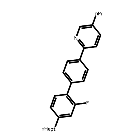 CCCCCCCc1ccc(-c2ccc(-c3ccc(CCC)cn3)cc2)c(F)c1